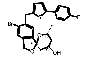 C[C@@H]1C[C@H](O)C[C@@]2(OCc3cc(Br)c(Cc4ccc(-c5ccc(F)cc5)s4)cc32)O1